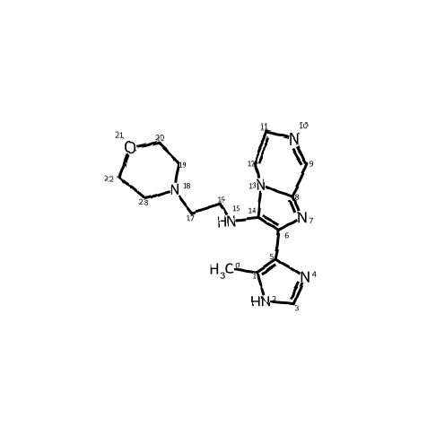 Cc1[nH]cnc1-c1nc2cnccn2c1NCCN1CCOCC1